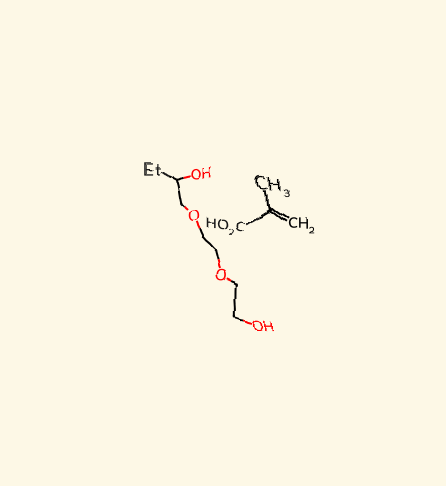 C=C(C)C(=O)O.CCC(O)COCCOCCO